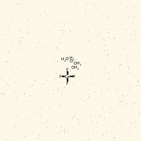 O.O.O.O.[F][Ge]([F])([F])[F]